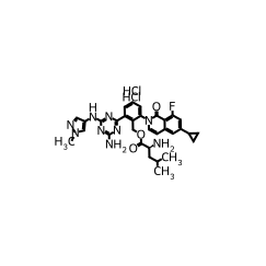 CC(C)C[C@H](N)C(=O)OCc1c(-c2nc(N)nc(Nc3cnn(C)c3)n2)cccc1-n1ccc2cc(C3CC3)cc(F)c2c1=O.Cl.Cl